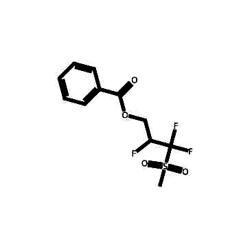 CS(=O)(=O)C(F)(F)C(F)COC(=O)c1ccccc1